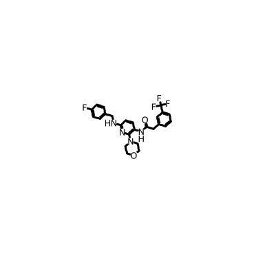 O=C(Cc1cccc(C(F)(F)F)c1)Nc1ccc(NCc2ccc(F)cc2)nc1N1CCOCC1